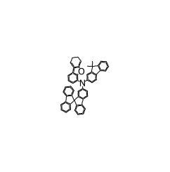 CC1(C)c2ccccc2-c2ccc(N(c3ccc4c(c3)C3(c5ccccc5-c5ccccc53)c3ccccc3-4)c3cccc4c5c(oc34)=CCCC=5)cc21